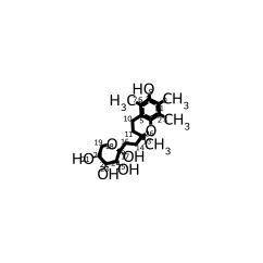 Cc1c(C)c2c(c(C)c1O)CCC(C)(CC[C@]1(O)OC[C@@H](O)[C@@H](O)[C@@H]1O)O2